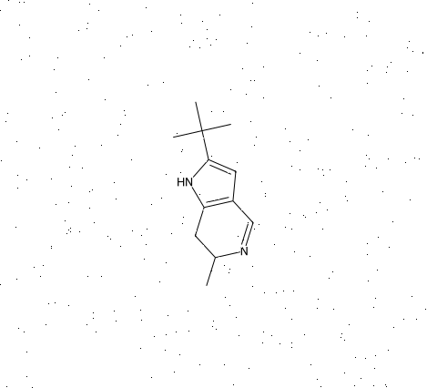 CC1Cc2[nH]c(C(C)(C)C)cc2C=N1